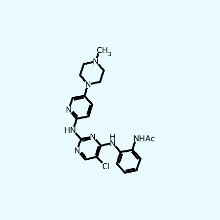 CC(=O)Nc1ccccc1Nc1nc(Nc2ccc(N3CCN(C)CC3)cn2)ncc1Cl